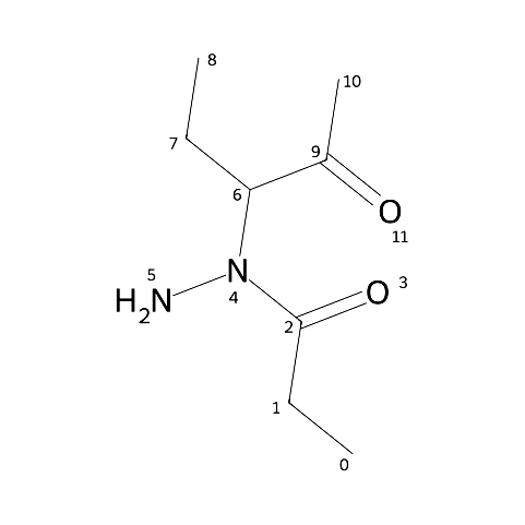 CCC(=O)N(N)C(CC)C(C)=O